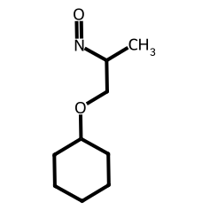 CC(COC1CCCCC1)N=O